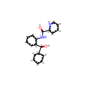 O=C(Nc1ccccc1C(=O)c1ccccc1)c1ccccn1